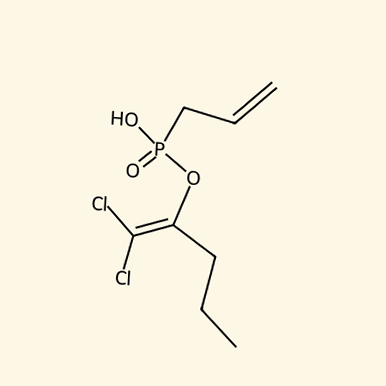 C=CCP(=O)(O)OC(CCC)=C(Cl)Cl